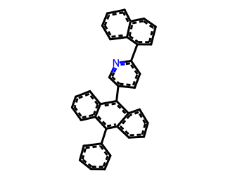 c1ccc(-c2c3ccccc3c(-c3ccc(-c4cccc5ccccc45)nc3)c3ccccc23)cc1